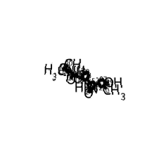 Cc1cc(-c2cc(-c3cccc(OCC(=O)NCC(C)C)c3)[nH]c(=O)n2)ccc1O